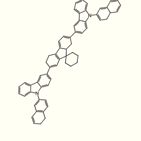 C1=CC2=CC(n3c4ccccc4c4cc(C5=CC=C6C7=C(C=C(c8ccc9c(c8)c8ccccc8n9-c8ccc9c(c8)C=CCC9)CC7)C7(CCCCC7)C6C5)ccc43)=CCC2C=C1